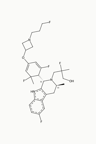 C[C@H]1Cc2c([nH]c3ccc(F)cc23)[C@H](C2C(F)=CC(OC3CN(CCCF)C3)=CC2(C)F)N1CC(C)(F)CO